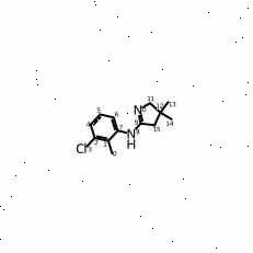 Cc1c(Cl)cccc1NC1=NCC(C)(C)C1